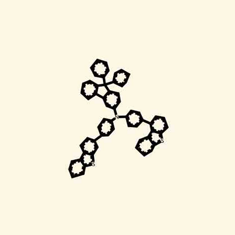 c1ccc(C2(c3ccccc3)c3ccccc3-c3cc(N(c4ccc(-c5ccc6c(c5)sc5ccccc56)cc4)c4ccc(-c5cccc6sc7ccccc7c56)cc4)ccc32)cc1